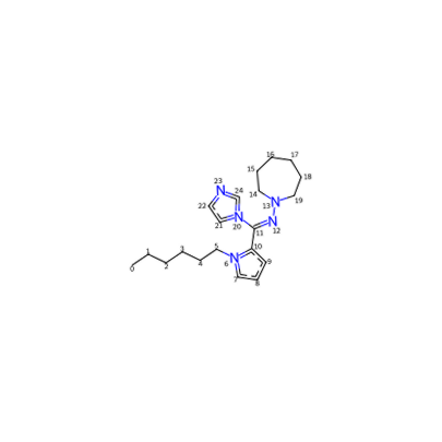 CCCCCCn1cccc1C(=NN1CCCCCC1)n1ccnc1